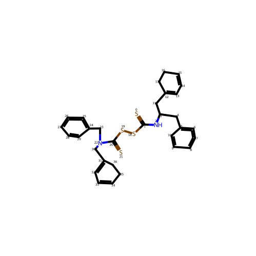 S=C(NC(CC1=C=C=CC=C1)CC1=CC=CCC1)SSC(=S)N(CC1=C=C=CC=C1)CC1=CC=CCC1